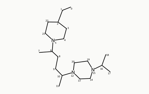 CCC1CCN(C(C)CCC(C)N2CCN(C(C)C)CC2)CC1